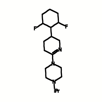 CC(C)N1CCN(C2=NCC(C3C(F)CCCC3F)CC2)CC1